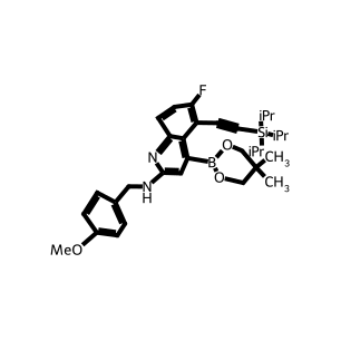 COc1ccc(CNc2cc(B3OCC(C)(C)CO3)c3c(C#C[Si](C(C)C)(C(C)C)C(C)C)c(F)ccc3n2)cc1